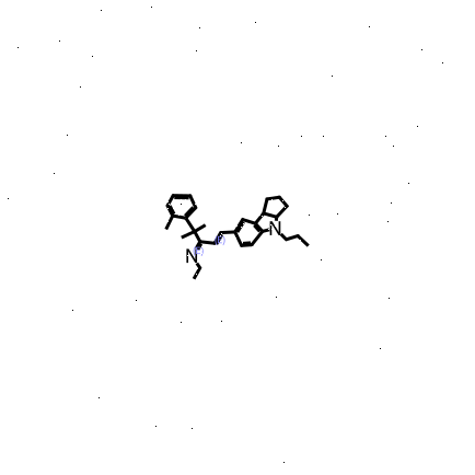 CCCN1c2ccc(/C=C/C(=N\CC)C(C)(C)c3ccccc3C)cc2C2CCCC21